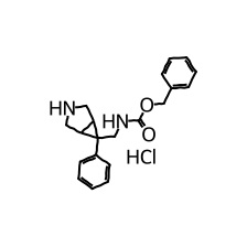 Cl.O=C(NCC1(c2ccccc2)C2CNCC21)OCc1ccccc1